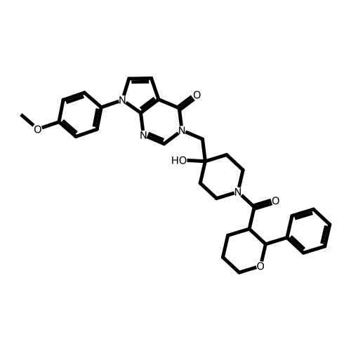 COc1ccc(-n2ccc3c(=O)n(CC4(O)CCN(C(=O)C5CCCOC5c5ccccc5)CC4)cnc32)cc1